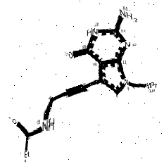 CCC(=O)NCC#Cc1cn(C(C)C)c2nc(N)[nH]c(=O)c12